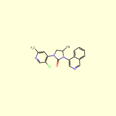 N#CC1CN(c2cc(C(F)(F)F)ncc2Cl)C(=O)N1c1cncc2ccccc12